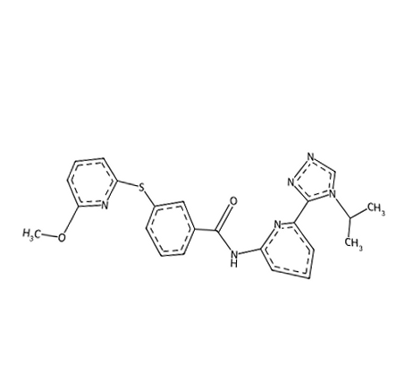 COc1cccc(Sc2cccc(C(=O)Nc3cccc(-c4nncn4C(C)C)n3)c2)n1